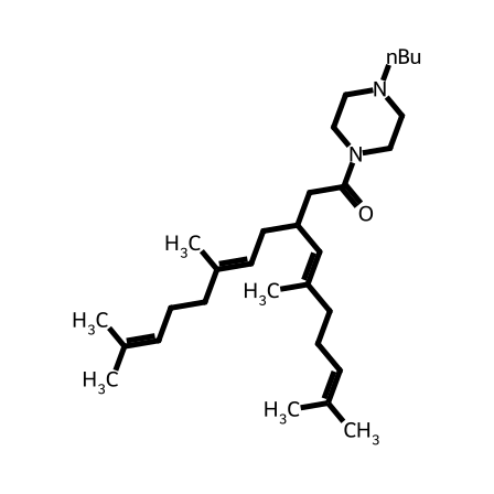 CCCCN1CCN(C(=O)CC(/C=C(\C)CCC=C(C)C)C/C=C(\C)CCC=C(C)C)CC1